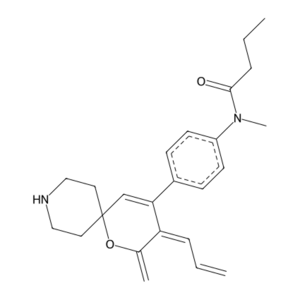 C=C/C=C1\C(=C)OC2(C=C1c1ccc(N(C)C(=O)CCC)cc1)CCNCC2